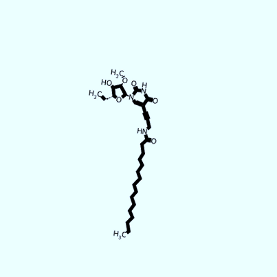 CCCCCCCCCCCCCCCC(=O)NCC#Cc1cn([C@@H]2O[C@H](CC)C(O)[C@@H]2OC)c(=O)[nH]c1=O